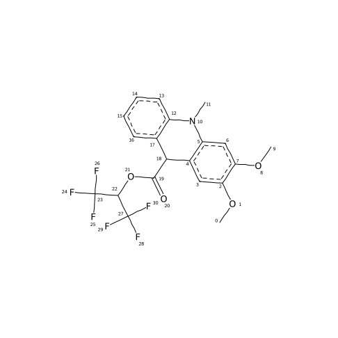 COc1cc2c(cc1OC)N(C)c1ccccc1C2C(=O)OC(C(F)(F)F)C(F)(F)F